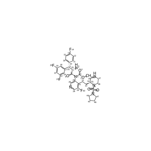 COC(=O)N(C(=O)[C@@H](N)[C@@H](c1ccc(F)cc1)c1cc(F)cc(F)c1)c1cncc(F)c1CC[C@H]1CNCCN1S(=O)(=O)N1CCCC1